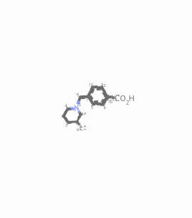 CCC1CCCN(Cc2ccc(C(=O)O)cc2)C1